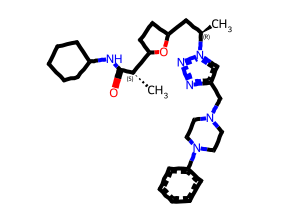 C[C@H](C(=O)NC1CCCCC1)C1CCC(C[C@@H](C)n2cc(CN3CCN(c4ccccc4)CC3)nn2)O1